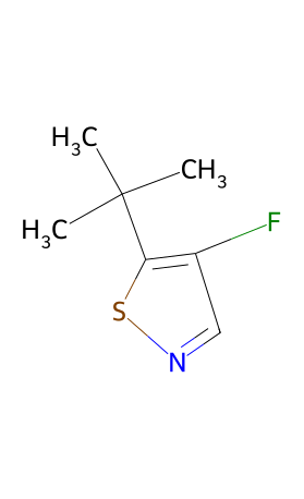 CC(C)(C)c1sncc1F